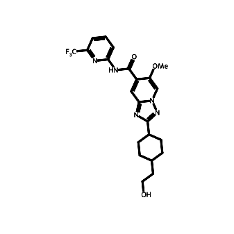 COc1cn2nc(C3CCC(CCO)CC3)nc2cc1C(=O)Nc1cccc(C(F)(F)F)n1